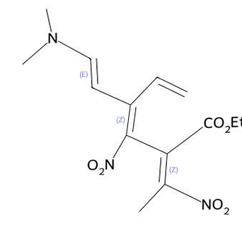 C=CC(/C=C/N(C)C)=C(\C(C(=O)OCC)=C(/C)[N+](=O)[O-])[N+](=O)[O-]